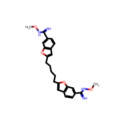 CONC(=N)c1ccc2cc(CCCCCc3cc4ccc(C(=N)NOC)cc4o3)oc2c1